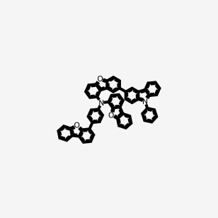 c1ccc(-n2c3ccccc3c3cc(-c4ccc5oc6cccc(N(c7ccc(-c8cccc9c8oc8ccccc89)cc7)c7cccc8c7oc7ccccc78)c6c5c4)ccc32)cc1